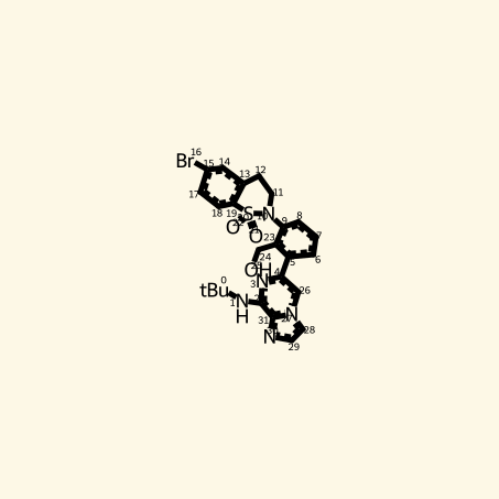 CC(C)(C)Nc1nc(-c2cccc(N3CCc4cc(Br)ccc4S3(=O)=O)c2CO)cn2ccnc12